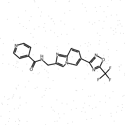 O=C(NCc1cn2cc(-c3noc(C(F)(F)F)n3)ccc2n1)c1ccncc1